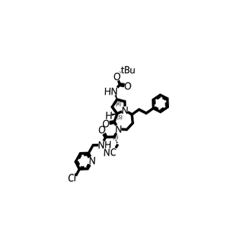 CC(C)(C)OC(=O)N[C@@H]1C[C@H]2C(=O)N([C@H](CC#N)C(=O)NCc3ccc(Cl)cn3)CCC(CCc3ccccc3)N2C1